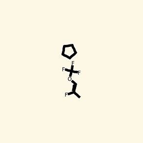 C1CCCC1.CC(F)=COC(F)(F)F